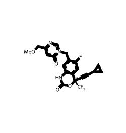 COCc1cc(=O)n(Cc2cc3c(cc2F)[C@@](C#CC2CC2)(C(F)(F)F)OC(=O)N3)cn1